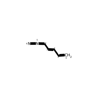 C=CC=CC=[N+]=[N-]